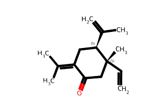 C=C[C@]1(C)CC(=O)C(=C(C)C)C[C@H]1C(=C)C